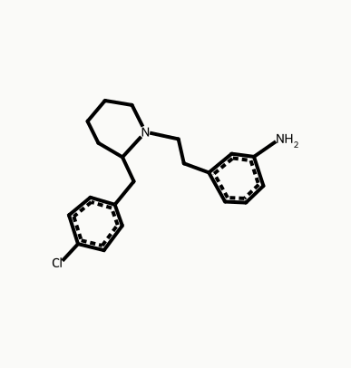 Nc1cccc(CCN2CCCCC2Cc2ccc(Cl)cc2)c1